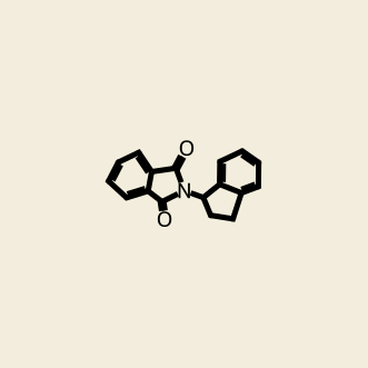 O=C1c2ccccc2C(=O)N1C1CCc2ccccc21